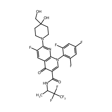 CC(NC(=O)c1cn(-c2c(F)cc(F)cc2F)c2nc(N3CCC(O)(CO)CC3)c(F)cc2c1=O)C(F)(F)C(F)(F)F